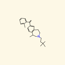 C=C(c1ccc2c(c1)CCN(CCC(C)(C)C)CC2C)c1ccccc1C